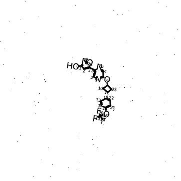 Oc1cc(-c2cnc(O[C@H]3C[C@@H](c4ccc(OC(F)(F)F)cc4)C3)cn2)on1